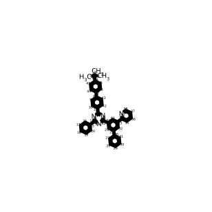 CC(C)(C)c1ccc(-c2ccc(-c3nc(-c4ccccc4)nc(-c4cc(-c5ccccc5)cc(-c5ccccn5)c4)n3)cc2)cc1